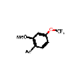 COc1cc(OC(F)(F)F)ccc1C(C)=O